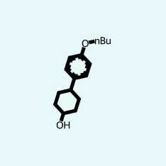 CCCCOc1ccc(C2CCC(O)CC2)cc1